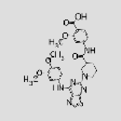 COc1ccc(Nc2nc(N3CCCC(C(=O)Nc4ccc(C(=O)O)c(OC)c4)C3)nc3scnc23)cc1OC